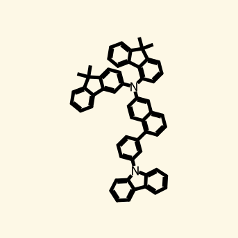 CC1(C)c2ccccc2-c2cc(N(c3ccc4c(-c5cccc(-n6c7ccccc7c7ccccc76)c5)cccc4c3)c3cccc4c3-c3ccccc3C4(C)C)ccc21